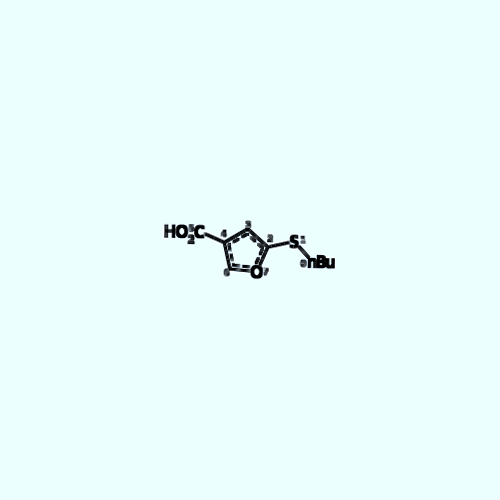 CCCCSc1cc(C(=O)O)co1